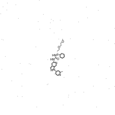 COCCOCC[C@@H](NC(=O)Nc1cc2cnn(-c3ccnc(C)c3)c2cn1)c1ccccc1